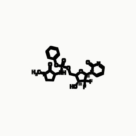 CN1CCC(NP(=O)(OCC2O[C@@H](n3cccnc3=O)C(F)(F)[C@@H]2O)Oc2ccccc2)C1=O